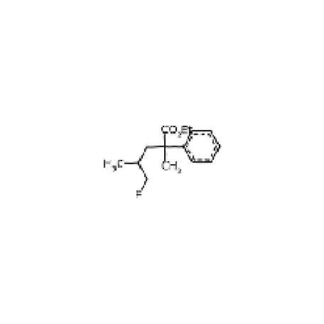 CCOC(=O)C(C)(CC(C)CF)c1ccccc1